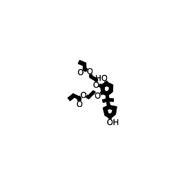 C=CC(=O)OCCOc1c(O)ccc(C(C)(C)c2ccc(O)cc2)c1OCCOC(=O)C=C